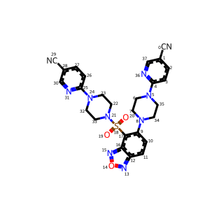 N#Cc1ccc(N2CCN(c3ccc4nonc4c3S(=O)(=O)N3CCN(c4ccc(C#N)cn4)CC3)CC2)nc1